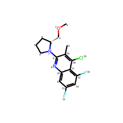 COC[C@H]1CCCN1c1nc2cc(F)cc(F)c2c(Cl)c1C